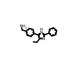 CCc1nc(-c2ccccc2)[nH]c1-c1ccc(CN)cc1